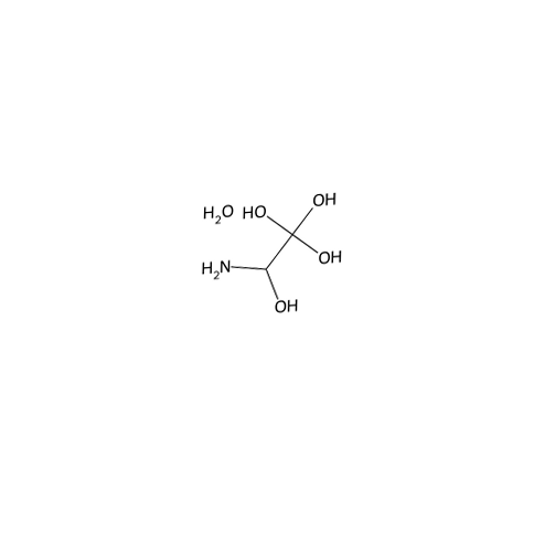 NC(O)C(O)(O)O.O